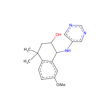 COc1ccc2c(c1)C(Nc1cncnc1)C(O)CC2(C)C